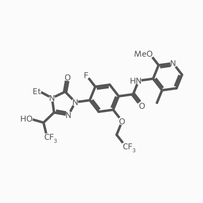 CCn1c(C(O)C(F)(F)F)nn(-c2cc(OCC(F)(F)F)c(C(=O)Nc3c(C)ccnc3OC)cc2F)c1=O